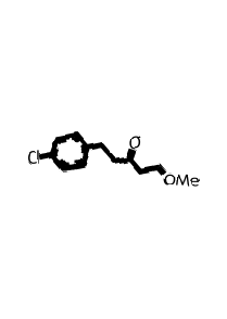 COCCC(=O)CCc1ccc(Cl)cc1